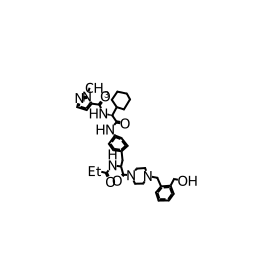 CCC(=O)NC(Cc1ccc(NC(=O)[C@@H](NC(=O)c2ccnn2C)C2CCCCC2)cc1)C(=O)N1CCN(Cc2ccccc2CO)CC1